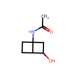 CC(=O)NC12CCC1C(O)C2